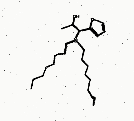 CCCCCCCCN(CCCCCCCC)C(c1ccco1)C(C)O